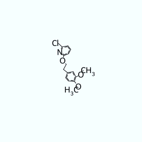 COc1ccc(CCOc2cccc(Cl)n2)cc1OC